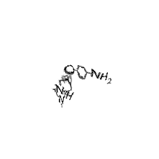 CN1CCN2C[C@H](Oc3ccc(N)cc3)C[C@H]2C1